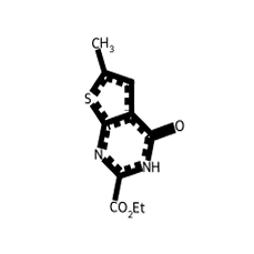 CCOC(=O)c1nc2sc(C)cc2c(=O)[nH]1